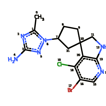 Cc1nc(N)nn1C1CCC2(CNc3ncc(Br)c(Cl)c32)C1